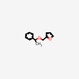 CC(OCc1ccco1)c1ccccc1